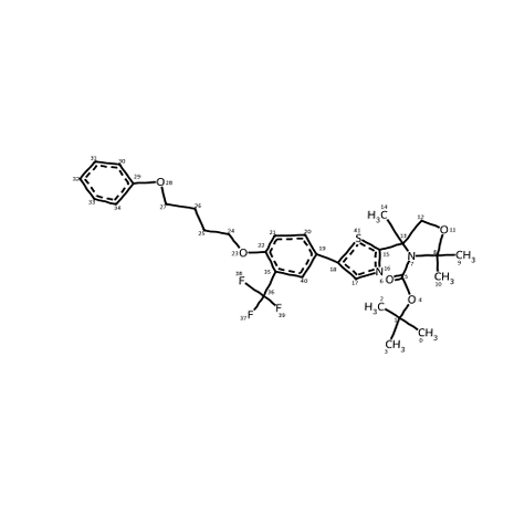 CC(C)(C)OC(=O)N1C(C)(C)OCC1(C)c1ncc(-c2ccc(OCCCCOc3ccccc3)c(C(F)(F)F)c2)s1